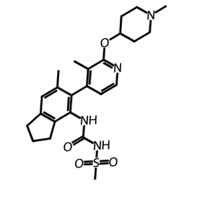 Cc1cc2c(c(NC(=O)NS(C)(=O)=O)c1-c1ccnc(OC3CCN(C)CC3)c1C)CCC2